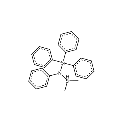 C[SiH](C)N(c1ccccc1)[Si](c1ccccc1)(c1ccccc1)c1ccccc1